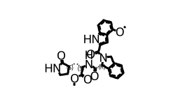 COC(=O)[C@H](C[C@@H]1CCNC1=O)NC(=O)[C@H]1c2ccccc2CN1C(=O)c1cc2c(OC)cccc2[nH]1